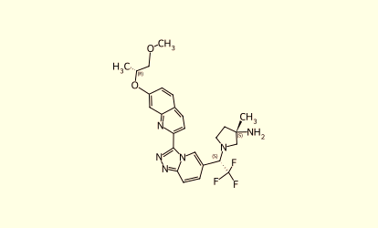 COC[C@@H](C)Oc1ccc2ccc(-c3nnc4ccc([C@H](N5CC[C@](C)(N)C5)C(F)(F)F)cn34)nc2c1